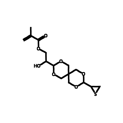 C=C(C)C(=O)OCC(O)C1OCC2(CO1)COC(C1CS1)OC2